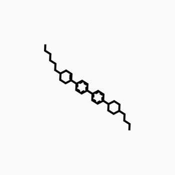 CCCCCCC1CC=C(c2ccc(-c3ccc(C4CCC(CCCC)CC4)cc3)cc2)CC1